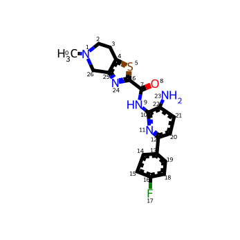 CN1CCc2sc(C(=O)Nc3nc(-c4ccc(F)cc4)ccc3N)nc2C1